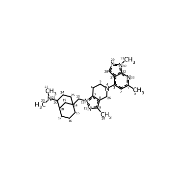 Cc1cc(N2CCc3c(c(C)nn3CC34CCCC(C3)C(N(C)C)CC4)C2)c2cnn(C)c2n1